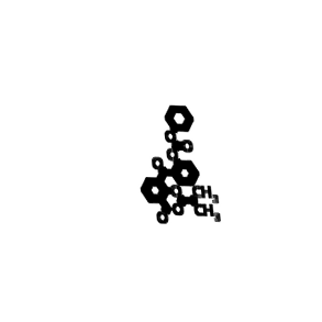 CC(C)C(=O)Oc1c([C]=O)cccc1C(=O)c1ccccc1OC(=O)OC1CCCCC1